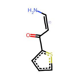 N/C=C\C(=O)c1cccs1